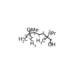 C=CC(C)(CCCC(C)(CO)CCC)OC